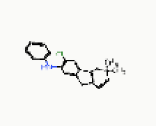 CC1(C)C=CC2=C(C1)c1cc(Cl)c(Nc3ccccc3)cc1C2